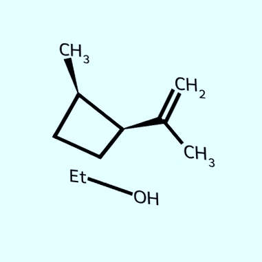 C=C(C)[C@H]1CC[C@H]1C.CCO